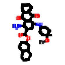 CCOC1(C)C=CC(Nc2cc(C(=O)OC3CCC4CCCCC4C3)c(N)c3c2C(=O)c2ccccc2C3=O)=CC1